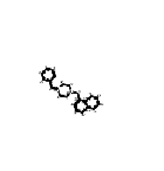 c1ccc(CN2CCN(Cc3cccc4ccccc34)CC2)cc1